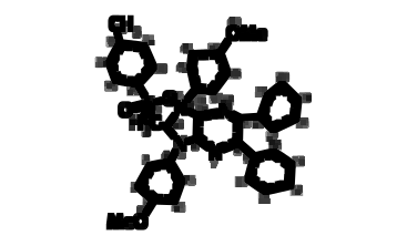 COc1ccc(N2c3nc(-c4ccccc4)c(-c4ccccc4)nc3[N+](OS(=O)(=O)c3ccc(C)cc3)(c3ccc(OC)cc3)C2C)cc1